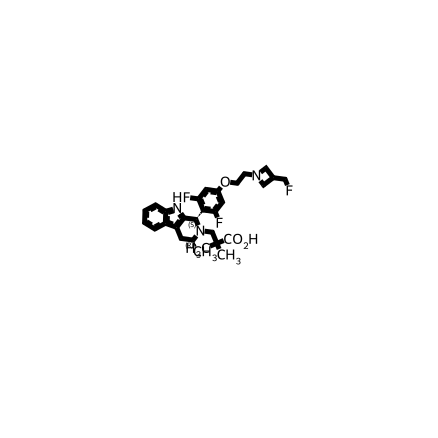 C[C@@H]1Cc2c([nH]c3ccccc23)[C@H](c2c(F)cc(OCCN3CC(CF)C3)cc2F)N1CC(C)(C)C(=O)O